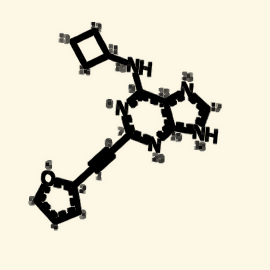 C(#Cc1ccco1)c1nc(NC2CCC2)c2nc[nH]c2n1